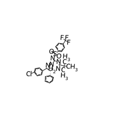 CC(C)(C)/C(N)=N/C(=N\S(=O)(=O)c1ccc(C(F)(F)F)cc1)N1C[C@H](c2ccccc2)C(c2ccc(Cl)cc2)=N1